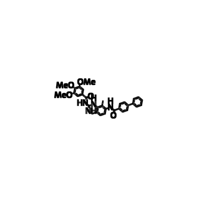 COc1cc(C(=O)NC(=N)Nc2c(C)ccc(NC(=O)c3ccc(-c4ccccc4)cc3)c2C)cc(OC)c1OC